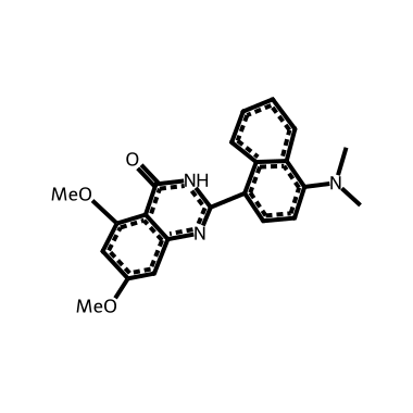 COc1cc(OC)c2c(=O)[nH]c(-c3ccc(N(C)C)c4ccccc34)nc2c1